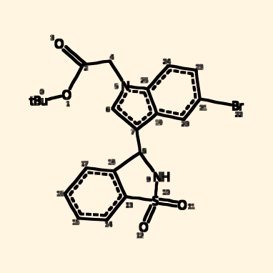 CC(C)(C)OC(=O)Cn1cc(C2NS(=O)(=O)c3ccccc32)c2cc(Br)ccc21